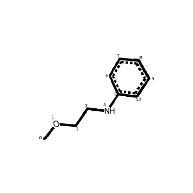 COCCNc1ccccc1